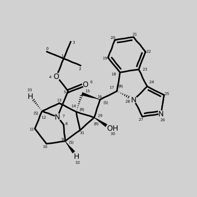 CC(C)(C)OC(=O)N1C[C@H]2CC[C@H]1C[C@@]13C[C@@H]([C@@H]4c5ccccc5-c5cncn54)[C@]1(O)C23